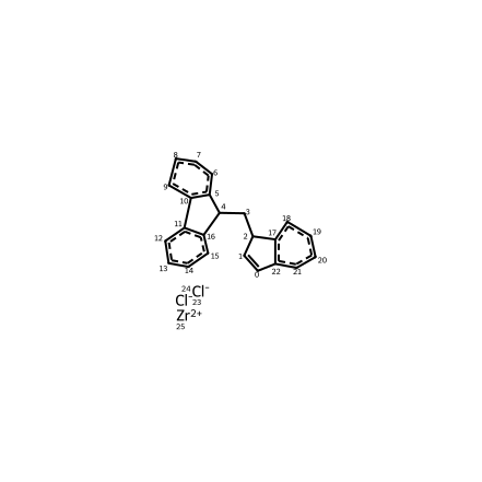 C1=CC(CC2c3ccccc3-c3ccccc32)c2ccccc21.[Cl-].[Cl-].[Zr+2]